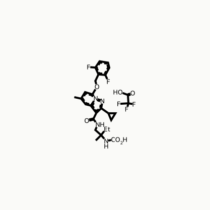 CCC(C)(CNC(=O)c1c(C2CC2)nn2c(OCc3c(F)cccc3F)cc(C)cc12)NC(=O)O.O=C(O)C(F)(F)F